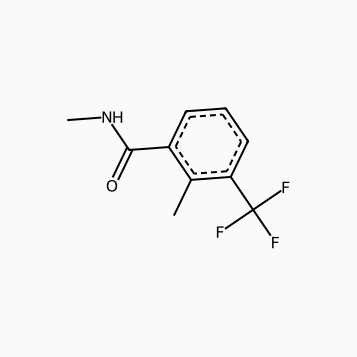 CNC(=O)c1cccc(C(F)(F)F)c1C